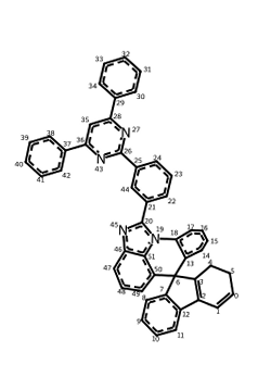 C1=CC2=C(CC1)C1(c3ccccc32)c2ccccc2-n2c(-c3cccc(-c4nc(-c5ccccc5)cc(-c5ccccc5)n4)c3)nc3cccc1c32